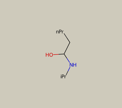 CCCCC(O)NC(C)C